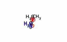 Cc1cc(OC(=O)OCC(C)C)ccc1C[C@@H](N)C(=O)N1CCc2ccccc21